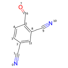 N#Cc1ccc([C]=O)c(C#N)c1